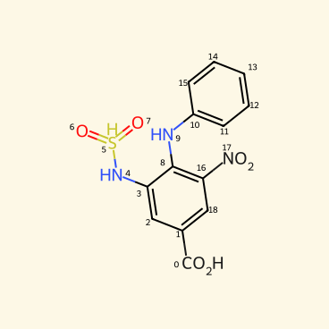 O=C(O)c1cc(N[SH](=O)=O)c(Nc2ccccc2)c([N+](=O)[O-])c1